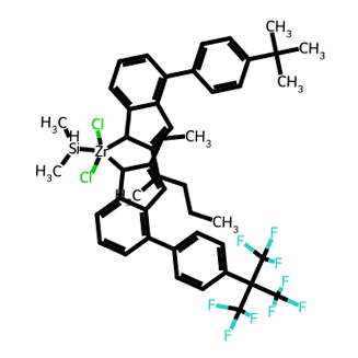 CCCC(C)C1=Cc2c(-c3ccc(C(C)(C)C)cc3)cccc2[CH]1[Zr]([Cl])([Cl])([CH]1C(CC)=Cc2c(-c3ccc(C(C(F)(F)F)(C(F)(F)F)C(F)(F)F)cc3)cccc21)[SiH](C)C